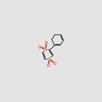 O=S1(=O)C=CS(=O)(=O)C(C2=CC=CCC2)=C1